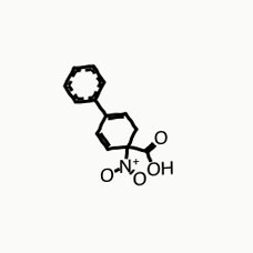 O=C(O)C1([N+](=O)[O-])C=CC(c2ccccc2)=CC1